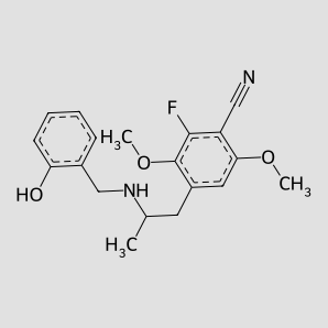 COc1cc(CC(C)NCc2ccccc2O)c(OC)c(F)c1C#N